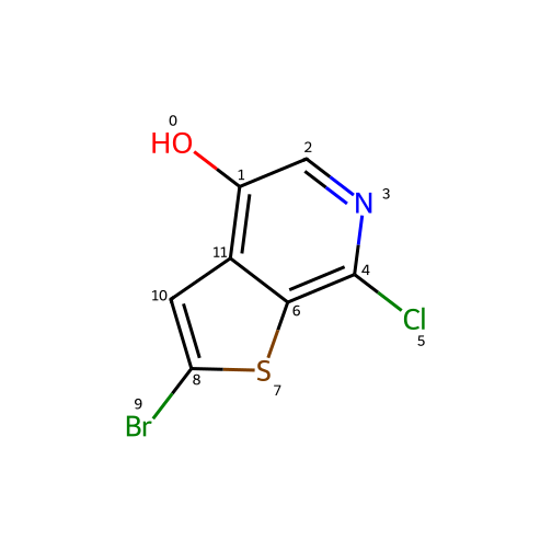 Oc1cnc(Cl)c2sc(Br)cc12